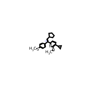 COc1nc(/C(=C\C2CCCC2)c2ccc(SC)cc2)ccc1C1CC1